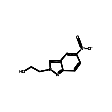 O=[N+]([O-])c1ccc2nn(CCO)cc2c1